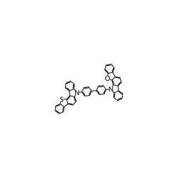 c1ccc2c(c1)oc1c2ccc2c3ccccc3n(-c3ccc(-c4ccc(-n5c6ccccc6c6c7sc8ccccc8c7ccc65)cc4)cc3)c21